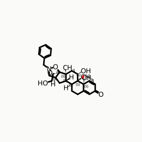 C[C@]12[C@@H](O)C[C@@]3(C)[C@@H](C[C@H]4CN(Cc5ccccc5)O[C@]43C(=O)CO)[C@@H]1CCC1=CC(=O)C=C[C@@]12C